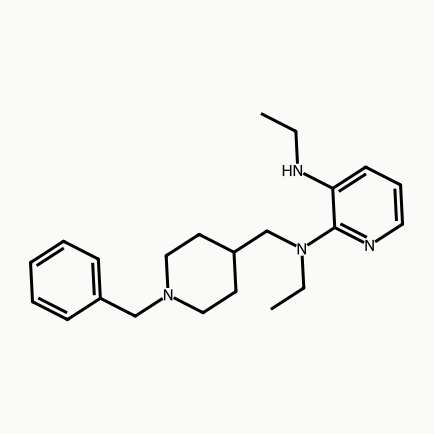 CCNc1cccnc1N(CC)CC1CCN(Cc2ccccc2)CC1